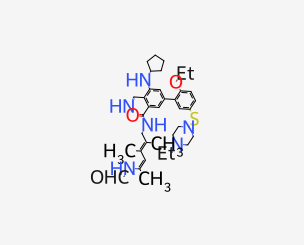 CCOc1ccc(SN2CCN(CC)CC2)cc1-c1cc(NC2CCCC2)c(C=N)c(C(=O)NC/C(C)=C(C)/C=C(/C)NC=O)c1